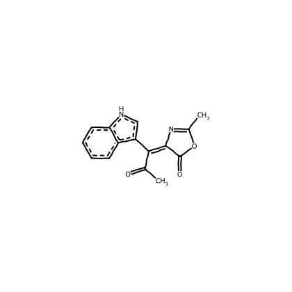 CC(=O)C(=C1N=C(C)OC1=O)c1c[nH]c2ccccc12